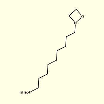 CCCCCCCCCCCCCCCCN1CCO1